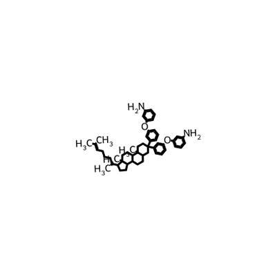 CC(C)=CCCCC(C)C1CCC2C3CCC4CC(c5cccc(Oc6cccc(N)c6)c5)(c5cccc(Oc6cccc(N)c6)c5)CCC4(C)C3CCC12C